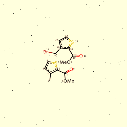 COC(=O)c1sccc1C.COC(=O)c1sccc1CBr